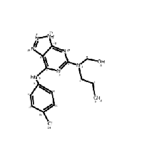 CCCN(CO)c1nc(Nc2ccc(Cl)cc2)c2nn[nH]c2n1